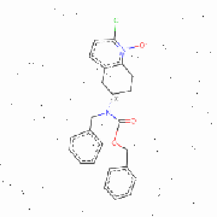 O=C(OCc1ccccc1)N(Cc1ccccc1)[C@H]1CCc2c(ccc(Cl)[n+]2[O-])C1